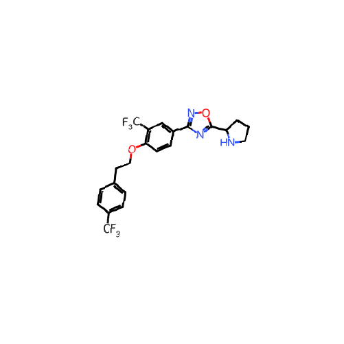 FC(F)(F)c1ccc(CCOc2ccc(-c3noc(C4CCCN4)n3)cc2C(F)(F)F)cc1